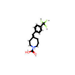 O=C(O)N1CCC/C(=C\c2ccc(C(F)(F)F)cc2)CC1